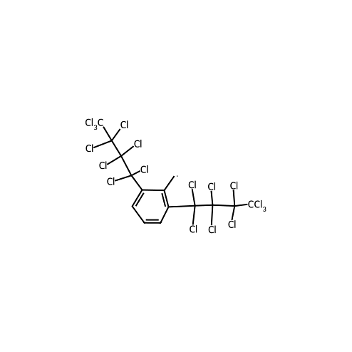 [CH2]c1c(C(Cl)(Cl)C(Cl)(Cl)C(Cl)(Cl)C(Cl)(Cl)Cl)cccc1C(Cl)(Cl)C(Cl)(Cl)C(Cl)(Cl)C(Cl)(Cl)Cl